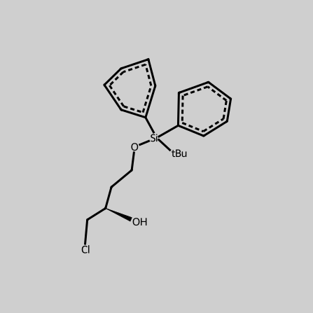 CC(C)(C)[Si](OCC[C@@H](O)CCl)(c1ccccc1)c1ccccc1